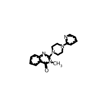 Cn1c(N2CCN(c3ccccn3)CC2)nc2ccccc2c1=O